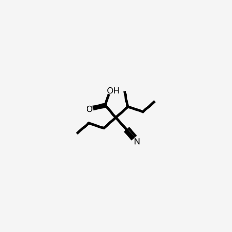 CCCC(C#N)(C(=O)O)C(C)CC